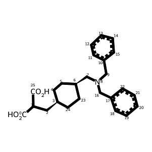 O=C(O)C(C[C@H]1CC[C@@H](CN(Cc2ccccc2)Cc2ccccc2)CC1)C(=O)O